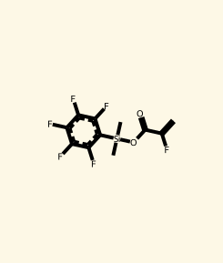 C=C(F)C(=O)O[Si](C)(C)c1c(F)c(F)c(F)c(F)c1F